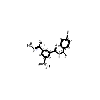 C[C@@H](NC(=O)c1cc(/C(N)=N/O)cc(N(C)S)c1)c1ccc(F)cc1